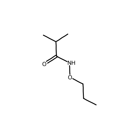 CCCONC(=O)C(C)C